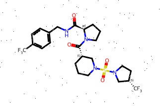 O=C(NCc1ccc(C(F)(F)F)cc1)[C@H]1CCCN1C(=O)[C@H]1CCCN(S(=O)(=O)N2CC[C@H](C(F)(F)F)C2)C1